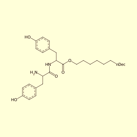 CCCCCCCCCCCCCCCCOC(=O)C(Cc1ccc(O)cc1)NC(=O)C(N)Cc1ccc(O)cc1